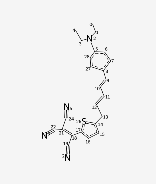 CCN(CC)c1ccc(/C=C/C=C/Cc2ccc(C(C#N)=C(C#N)C#N)s2)cc1